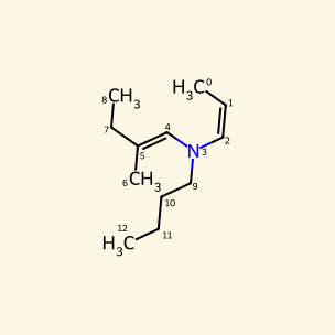 C/C=C\N(/C=C(\C)CC)CCCC